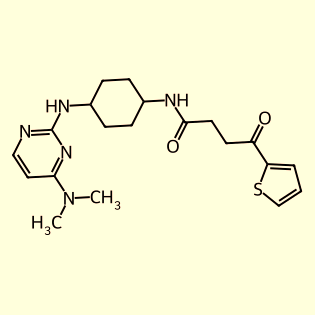 CN(C)c1ccnc(NC2CCC(NC(=O)CCC(=O)c3cccs3)CC2)n1